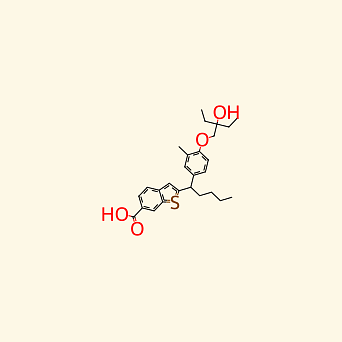 CCCCC(c1ccc(OCC(O)(CC)CC)c(C)c1)c1cc2ccc(C(=O)O)cc2s1